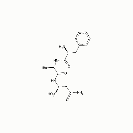 CC[C@H](C)[C@H](NC(=O)[C@@H](N)Cc1ccccc1)C(=O)N[C@@H](CC(N)=O)C(=O)O